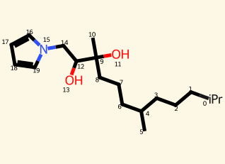 CC(C)CCCC(C)CCCC(C)(O)C(O)Cn1cccc1